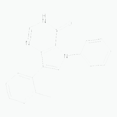 Cc1ccccc1-c1cn(-c2ccccc2)c2c(=O)[nH]cnc12